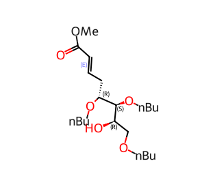 CCCCOC[C@@H](O)[C@H](OCCCC)[C@@H](C/C=C/C(=O)OC)OCCCC